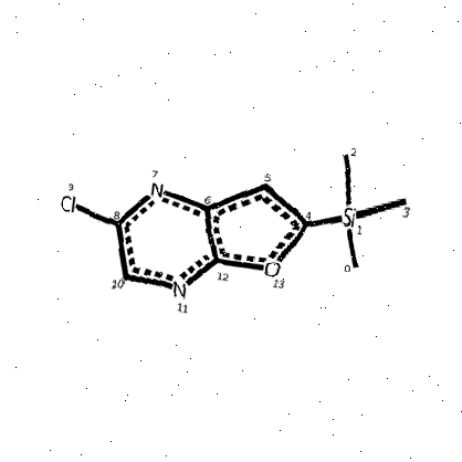 C[Si](C)(C)c1cc2nc(Cl)cnc2o1